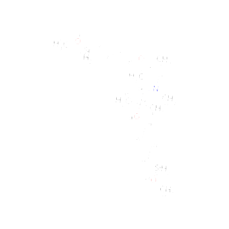 CO[SiH2]CCCCOC(C)(C)CN(C)CC(C)(C)OCCCC[SiH2]OC